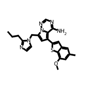 CCCc1nccn1Cc1cc(-c2cc3cc(C)cc(OC)c3s2)c2c(N)ncnn12